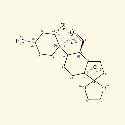 C=C[C@H]1C2CCC3(OCCO3)[C@@]2(C)CCC1[C@@]1(C)CC[C@H](C)C[C@@H]1O